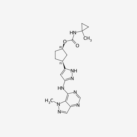 Cn1ncc2ncnc(Nc3cc([C@H]4CC[C@@H](OC(=O)NC5(C)CC5)C4)[nH]n3)c21